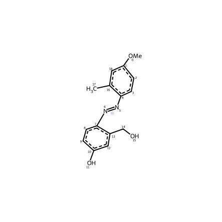 COc1ccc(/N=N/c2ccc(O)cc2CO)c(C)c1